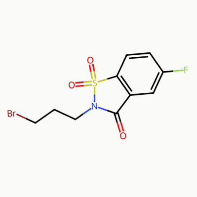 O=C1c2cc(F)ccc2S(=O)(=O)N1CCCBr